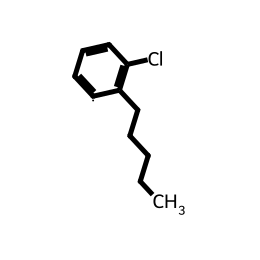 CCCCCc1[c]cccc1Cl